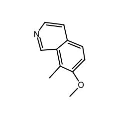 COc1ccc2ccncc2c1C